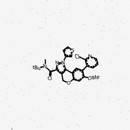 COc1cc2c(cc1-c1cccnc1Cl)-c1c(c(C(=O)N(C)C(C)(C)C)nn1-c1ccsc1)CO2